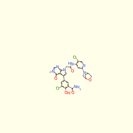 Cn1cnc2c(c(-c3cc(Cl)c(O)c(C(N)=O)c3)cn2CC(=O)Nc2cc(N3CC4CC3CO4)ncc2Cl)c1=O